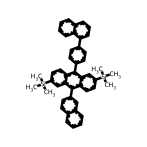 C[Si](C)(C)c1ccc2c(-c3ccc4ccccc4c3)c3cc([Si](C)(C)C)ccc3c(-c3ccc(-c4cccc5ccccc45)cc3)c2c1